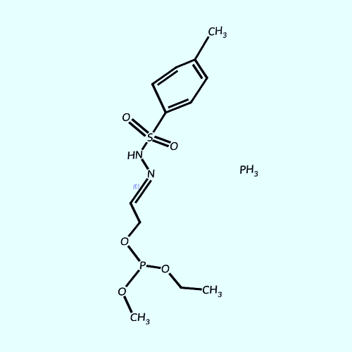 CCOP(OC)OC/C=N/NS(=O)(=O)c1ccc(C)cc1.P